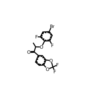 CC(Oc1c(F)cc(Br)cc1F)C(=O)c1ccc2c(c1)OC(F)(F)O2